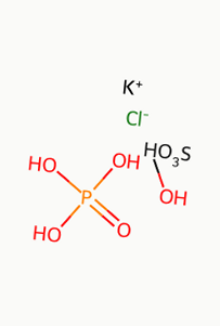 O=P(O)(O)O.O=S(=O)(O)O.[Cl-].[K+]